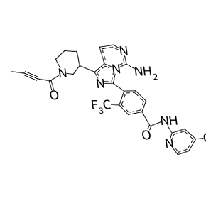 CC#CC(=O)N1CCCC(c2nc(-c3ccc(C(=O)Nc4cc(C(F)(F)F)ccn4)cc3C(F)(F)F)n3c(N)nccc23)C1